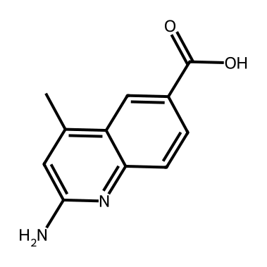 Cc1cc(N)nc2ccc(C(=O)O)cc12